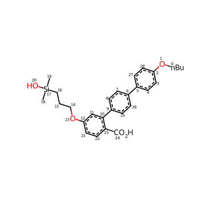 CCCCOc1ccc(-c2ccc(-c3cc(OCCC[Si](C)(C)O)ccc3C(=O)O)cc2)cc1